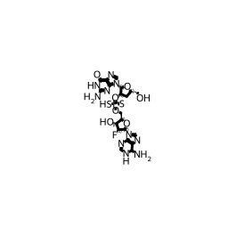 Nc1nc2c(ncn2[C@@H]2O[C@H](CO)C[C@H]2OP(=S)(S)OC[C@H]2O[C@@H](n3cnc4c3N=CNC4N)[C@@H](F)[C@@H]2O)c(=O)[nH]1